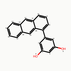 Oc1cc(O)cc(-c2cccc3cc4ccccc4cc23)c1